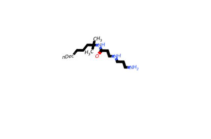 CCCCCCCCCCCCCC(C)(C)NC(=O)CCNCCCN